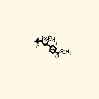 COC(=O)C12CCC(c3cc(C4(F)CC4)nn3C)(CC1)CC2